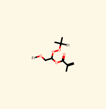 C=C(C)C(=O)O[C](COCC)OOC(C)(C)CC